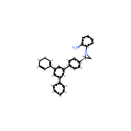 Nc1ccccc1N1C[C@H]1c1ccc(-c2cc(C3=CCCC=C3)cc(-c3ccccc3)c2)cc1